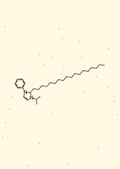 CCCCCCCCCCCCCCCCCCC1N(c2ccccc2)C=CN1C(C)C